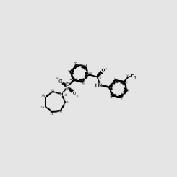 O=C(Nc1cccc(C(F)(F)F)c1)c1cccc(S(=O)(=O)N2CCCCCC2)c1